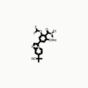 CCN(C)C(=O)c1c(OC)cc(-c2cnc3cc(C(C)(C)C#N)ccn23)cc1OC(F)F